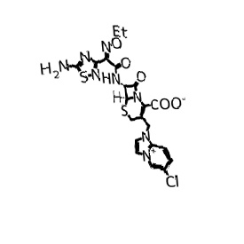 CCO/N=C(\C(=O)N[C@@H]1C(=O)N2C(C(=O)[O-])=C(Cn3cc[n+]4cc(Cl)ccc34)CS[C@@H]12)c1nsc(N)n1